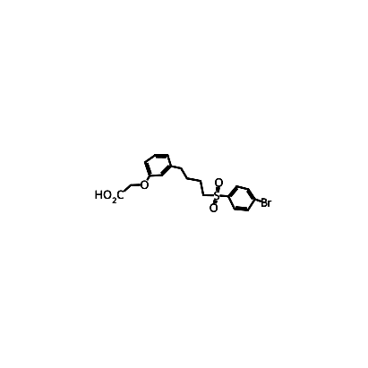 O=C(O)COc1cccc(CCCCS(=O)(=O)c2ccc(Br)cc2)c1